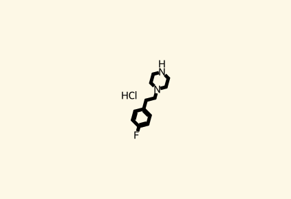 Cl.Fc1ccc(CCN2CCNCC2)cc1